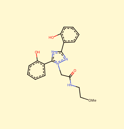 COCCNC(=O)Cn1nc(-c2ccccc2O)nc1-c1ccccc1O